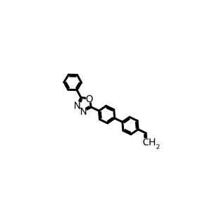 C=Cc1ccc(-c2ccc(-c3nnc(-c4ccccc4)o3)cc2)cc1